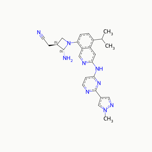 CC(C)c1ccc(N2C[C@H](CC#N)[C@H]2N)c2cnc(Nc3ccnc(-c4cnn(C)c4)n3)cc12